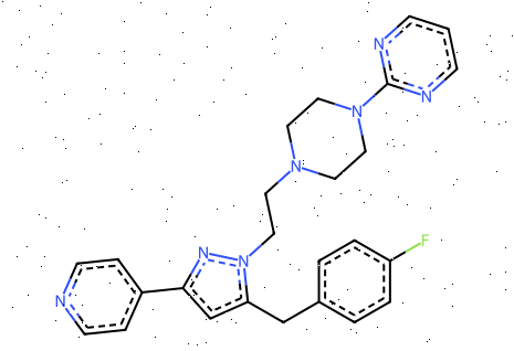 Fc1ccc(Cc2cc(-c3ccncc3)nn2CCN2CCN(c3ncccn3)CC2)cc1